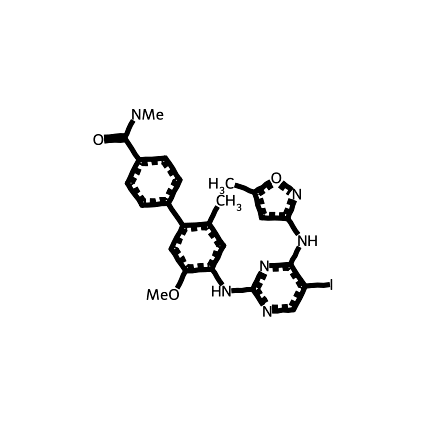 CNC(=O)c1ccc(-c2cc(OC)c(Nc3ncc(I)c(Nc4cc(C)on4)n3)cc2C)cc1